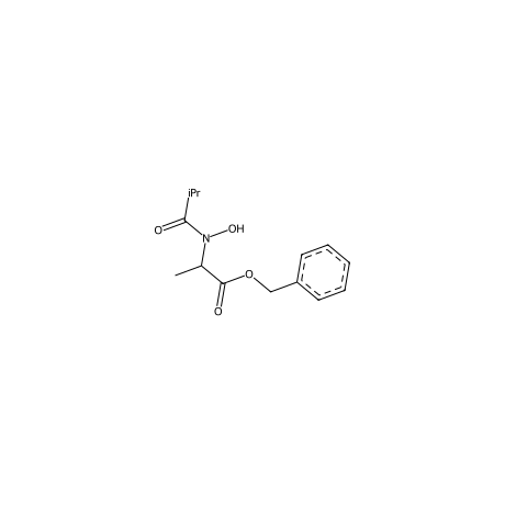 CC(C)C(=O)N(O)C(C)C(=O)OCc1ccccc1